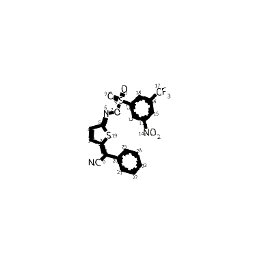 N#CC(=C1C=CC(=NOS(=O)(=O)c2cc([N+](=O)[O-])cc(C(F)(F)F)c2)S1)c1ccccc1